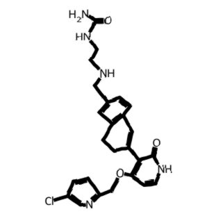 NC(=O)NCCNCc1ccc2c(c1)CCC(c1c(OCc3ccc(Cl)cn3)cc[nH]c1=O)=C2